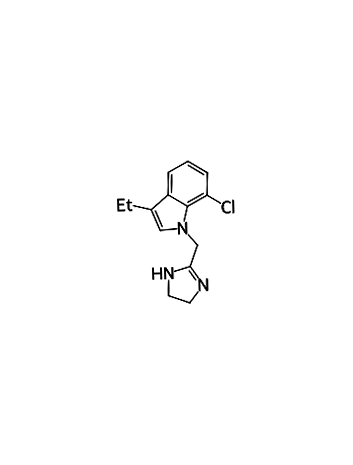 CCc1cn(CC2=NCCN2)c2c(Cl)cccc12